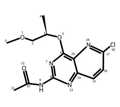 COC[C@@H](C)Oc1nc(NC(C)=O)nc2ccc(Cl)nc12